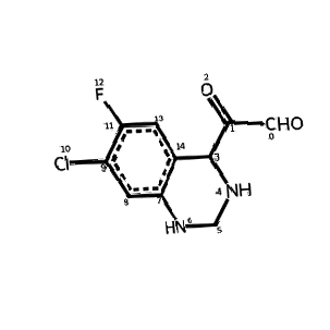 O=CC(=O)C1NCNc2cc(Cl)c(F)cc21